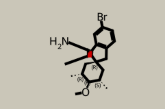 CO[C@H]1[C@H](C)C[C@@]2(Cc3ccc(Br)cc3[C@@]23N=C(C)C(N)=N3)C[C@@H]1C